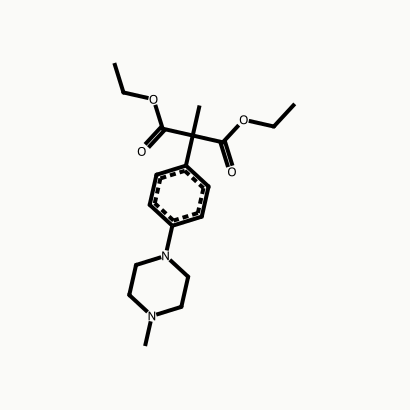 CCOC(=O)C(C)(C(=O)OCC)c1ccc(N2CCN(C)CC2)cc1